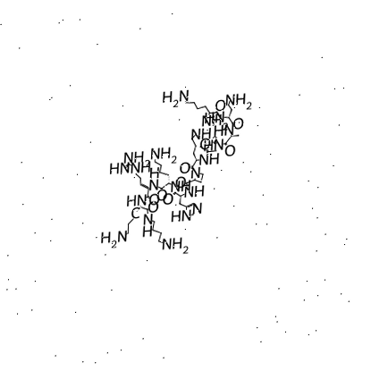 C[C@H](NC(=O)[C@H](CCN)NC(=O)[C@@H](N)CCCCN)C(=O)NCC(=O)N[C@H](CCCN)C(=O)N1CCC1C(=O)N[C@@H](Cc1cnc[nH]1)C(=O)N[C@@H](CCCCN)C(=O)N/C(=C\CCNC(=N)N)C(=O)N[C@@H](CCCCN)C(=O)NCCCCN